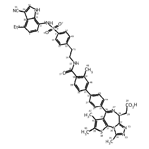 CCc1ccc(NS(=O)(=O)c2ccc(CCNC(=O)c3ccc(-c4ccc(C5=N[C@@H](CC(=O)O)c6nnc(C)n6-c6sc(C)c(C)c65)cc4)cc3C)cc2)c2[nH]cc(C#N)c12